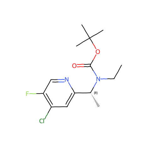 CCN(C(=O)OC(C)(C)C)[C@H](C)c1cc(Cl)c(F)cn1